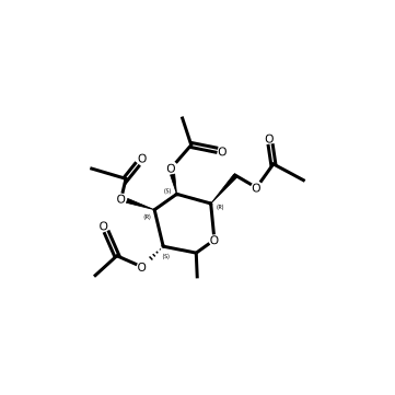 CC(=O)OC[C@H]1OC(C)[C@H](OC(C)=O)[C@@H](OC(C)=O)[C@H]1OC(C)=O